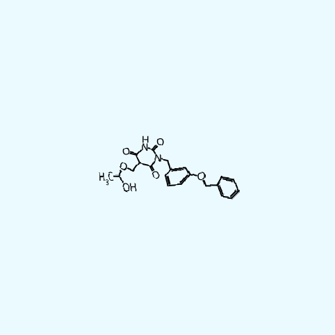 CC(O)OCC1C(=O)NC(=O)N(Cc2cccc(OCc3ccccc3)c2)C1=O